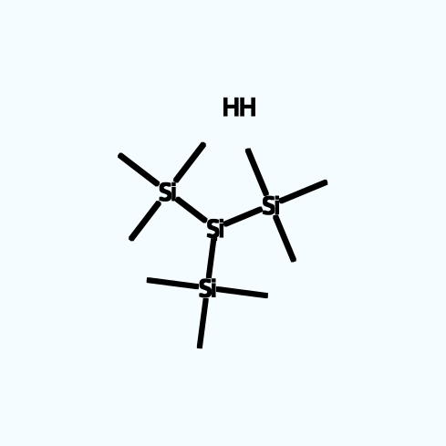 C[Si](C)(C)[Si]([Si](C)(C)C)[Si](C)(C)C.[HH]